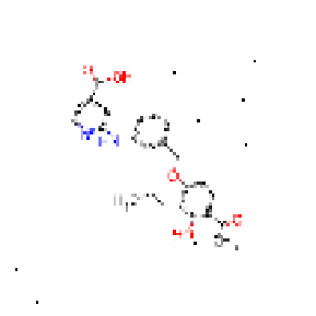 CCCc1c(OCc2cccc(Nc3cc(C(=O)O)ccn3)c2)ccc(C(C)=O)c1O